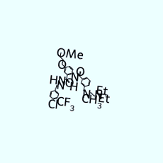 CCN(CC)CCN(C)Cc1cccc(C(=O)Nc2ccc(OCCOC)cc2C(=O)NN=Cc2ccc(Cl)c(C(F)(F)F)c2)c1